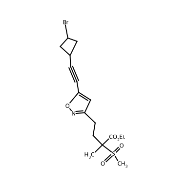 CCOC(=O)C(C)(CCc1cc(C#CC2CC(Br)C2)on1)S(C)(=O)=O